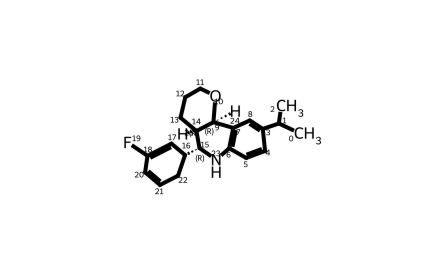 CC(C)c1ccc2c(c1)[C@@H]1OCCC[C@@H]1[C@@H](C1C=C(F)C=CC1)N2